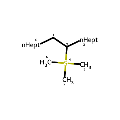 CCCCCCCCC(CCCCCCC)S(C)(C)C